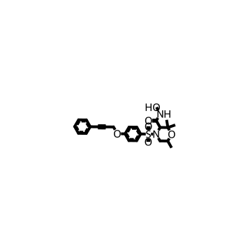 CC1CN(S(=O)(=O)c2ccc(OCC#Cc3ccccc3)cc2)C(C(=O)NO)C(C)(C)O1